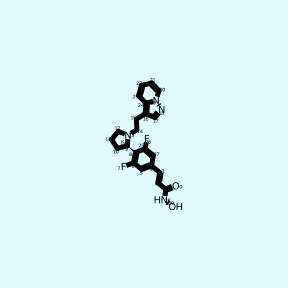 O=C(C=Cc1cc(F)c([C@@H]2CCCN2CCc2cnn3ccccc23)c(F)c1)NO